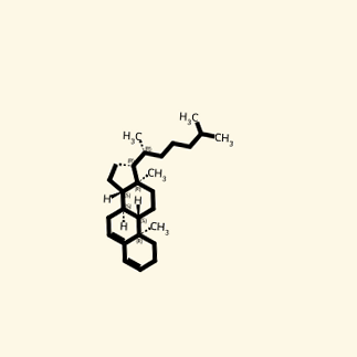 CC(C)CCC[C@@H](C)[C@H]1CC[C@H]2[C@@H]3CC=C4C=CCC[C@]4(C)[C@H]3CC[C@]12C